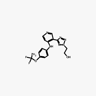 OCCn1nnc(-c2cnccc2Nc2ccc(OC(F)(F)P)cc2)n1